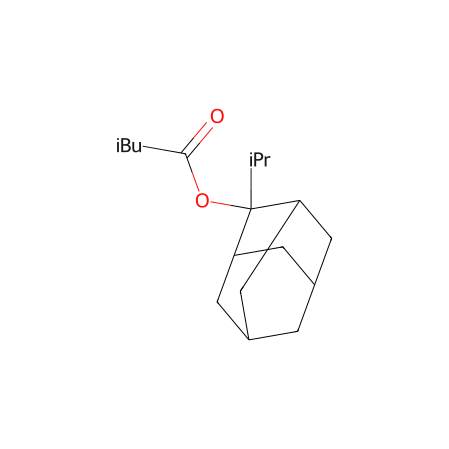 CCC(C)C(=O)OC1(C(C)C)C2CC3CC(C2)CC1C3